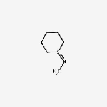 CN=S1CCCCC1